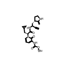 C#CC(C[C@@H]1CCNC1=C)NC(=O)[C@H](CC1CC1)n1cccc(NC(=O)OC(C)(C)C)c1=O